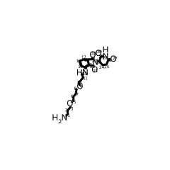 NCCCOCCCCOCCCNc1cccc2c1C(=O)N(C1CCC(=O)NC1=O)C2=O